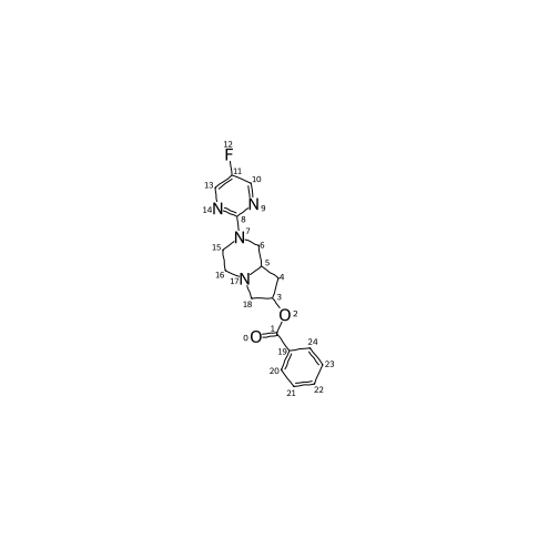 O=C(OC1CC2CN(c3ncc(F)cn3)CCN2C1)c1ccccc1